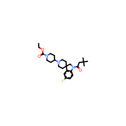 CCOC(=O)N1CCC(N2CCC3(CC2)CN(C(=O)CC(C)(C)C)c2ccc(F)cc23)CC1